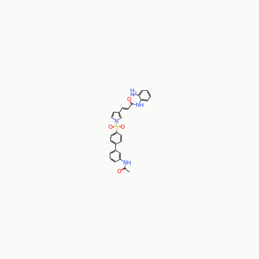 CC(=O)Nc1cccc(-c2ccc(S(=O)(=O)n3ccc(C=CC(=O)Nc4ccccc4N)c3)cc2)c1